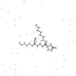 C=C=C(CCCCCC)CCCN(CCCCCCCC)C1CCN(C)C1